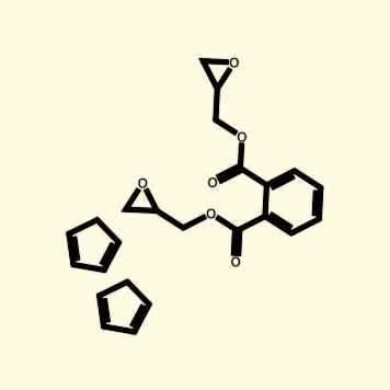 C1=CCC=C1.C1=CCC=C1.O=C(OCC1CO1)c1ccccc1C(=O)OCC1CO1